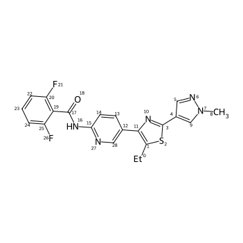 CCc1sc(-c2cnn(C)c2)nc1-c1ccc(NC(=O)c2c(F)cccc2F)nc1